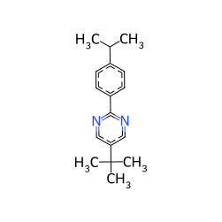 CC(C)c1ccc(-c2ncc(C(C)(C)C)cn2)cc1